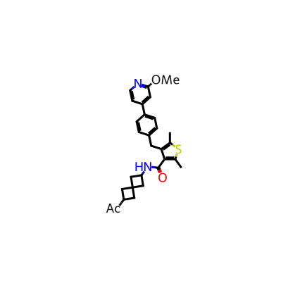 COc1cc(-c2ccc(Cc3c(C)sc(C)c3C(=O)NC3CC4(C3)CC(C(C)=O)C4)cc2)ccn1